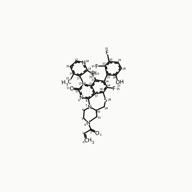 C=CC(=O)N1CCN2c3nc(=O)n(-c4c(C)ccnc4C(C)C)c4c(F)c(-c5c(O)ccc(F)c5F)c(F)c(c34)SCC2C1